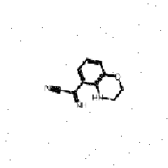 N#CC(=N)c1cccc2c1NCCO2